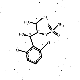 CC(C)[C@@H](OS(N)(=O)=O)[C@H](O)c1c(Cl)cccc1Cl